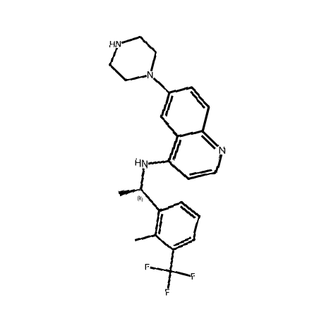 Cc1c([C@@H](C)Nc2ccnc3ccc(N4CCNCC4)cc23)cccc1C(F)(F)F